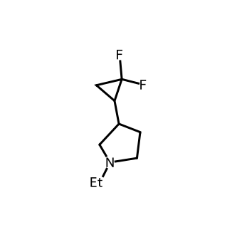 CCN1CCC(C2CC2(F)F)C1